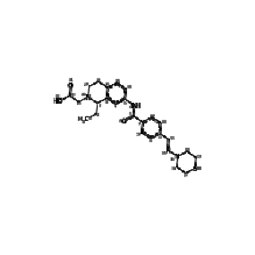 CCC1c2cc(NC(=O)c3ccc(C=NN4CCSCC4)cc3)ccc2CCN1CC(=O)O